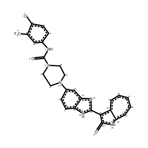 O=C(Nc1ccc(Cl)c(C(F)(F)F)c1)N1CCN(c2ccc3[nH]c(-c4c5cccccc-5[nH]c4=O)nc3c2)CC1